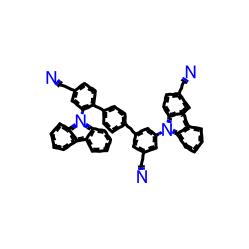 N#Cc1cc(-c2ccc(-c3ccc(C#N)cc3-n3c4ccccc4c4ccccc43)cc2)cc(-n2c3ccccc3c3cc(C#N)ccc32)c1